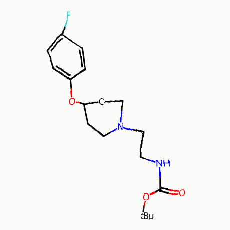 CC(C)(C)OC(=O)NCCN1CCC(Oc2ccc(F)cc2)CC1